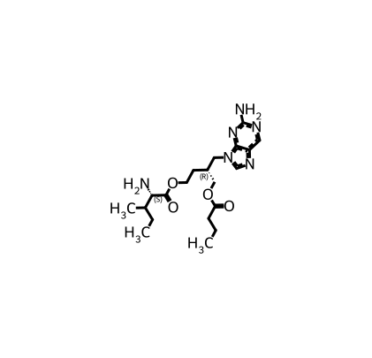 CCCC(=O)OC[C@H](CCOC(=O)[C@@H](N)C(C)CC)Cn1cnc2cnc(N)nc21